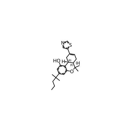 CCCC(C)(C)c1cc(O)c2c(c1)OC(C)(C)[C@@H]1CC=C(c3cncs3)C[C@@H]21